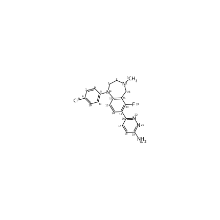 CN1CCN(c2ccc(Cl)cc2)c2ccc(-c3ccc(N)nn3)c(F)c2C1